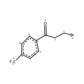 O=C(CCBr)c1ccc(C(F)(F)F)cc1